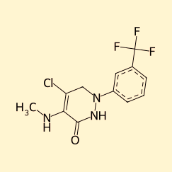 CNC1=C(Cl)CN(c2cccc(C(F)(F)F)c2)NC1=O